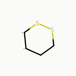 [CH]1[CH]SSCC1